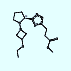 CCOC1CN(N2CCC[C@H]2c2ncc(CCC(=O)OC)s2)C1